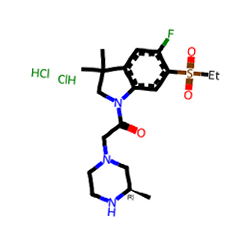 CCS(=O)(=O)c1cc2c(cc1F)C(C)(C)CN2C(=O)CN1CCN[C@H](C)C1.Cl.Cl